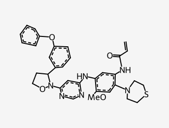 C=CC(=O)Nc1cc(Nc2cc(N3OCCC3c3cccc(Oc4ccccc4)c3)ncn2)c(OC)cc1N1CCSCC1